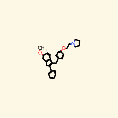 COc1ccc2c(c1)CC(c1ccccc1)=C2Cc1ccc(OCCN2CCCC2)cc1